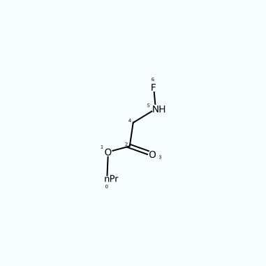 CCCOC(=O)CNF